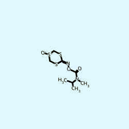 CC(C)N(C)C(=O)ON=C1SC[S+]([O-])CS1